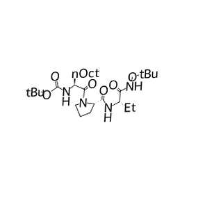 CCCCCCCC[C@H](NC(=O)OC(C)(C)C)C(=O)N1CCC[C@H]1C(=O)N[C@@H](CC)C(=O)NOC(C)(C)C